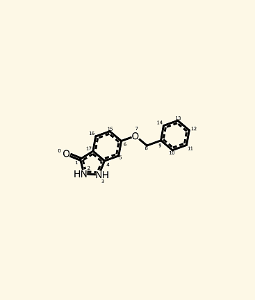 O=c1[nH][nH]c2cc(OCc3ccccc3)ccc12